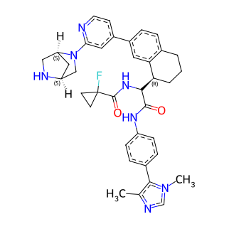 Cc1ncn(C)c1-c1ccc(NC(=O)C(NC(=O)C2(F)CC2)[C@@H]2CCCc3ccc(-c4ccnc(N5C[C@@H]6C[C@H]5CN6)c4)cc32)cc1